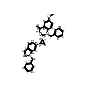 COc1ccc(N(Cc2ccccc2)C(=O)[C@@H]2C[C@H]2c2ccc3cnn(Cc4ccccc4)c3c2)c(C(C)C)c1